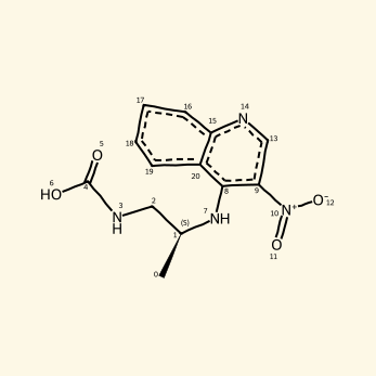 C[C@@H](CNC(=O)O)Nc1c([N+](=O)[O-])cnc2ccccc12